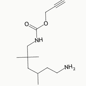 C#CCOC(=O)NCC(C)(C)CC(C)CCN